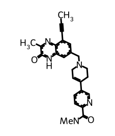 CC#Cc1cc(CN2CC=C(c3ccc(C(=O)NC)nc3)CC2)cc2[nH]c(=O)c(C)nc12